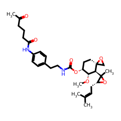 CO[C@H]1[C@H](C2(C)O[C@@H]2CC=C(C)C)[C@]2(CC[C@H]1OC(=O)NCCc1ccc(NC(=O)CCCC(C)=O)cc1)CO2